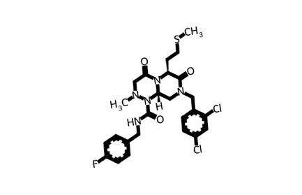 CSCC[C@H]1C(=O)N(Cc2ccc(Cl)cc2Cl)C[C@H]2N1C(=O)CN(C)N2C(=O)NCc1ccc(F)cc1